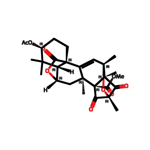 COC(=O)[C@]12C(=O)[C@]3(C)O[C@](C)(C=C4[C@]56CC[C@H](OC(C)=O)C(C)(C)[C@H]5[C@H](C[C@@]41C)OC6=O)[C@@]2(C)C3=O